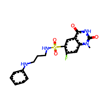 Cn1c(=O)[nH]c(=O)c2cc(S(=O)(=O)NCCCNc3ccccc3)c(F)cc21